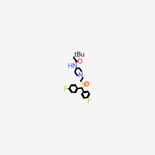 CC(C)(C)CC(=O)NC1CCN(CC[S+]([O-])C(c2ccc(F)cc2)c2ccc(F)cc2)CC1